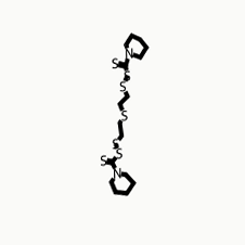 S=C(SSCCSCCSSC(=S)N1CCCCC1)N1CCCCC1